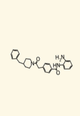 Nc1ccccc1NC(=O)c1ccc(CC(=O)N2CCC(Cc3ccccc3)CC2)cc1